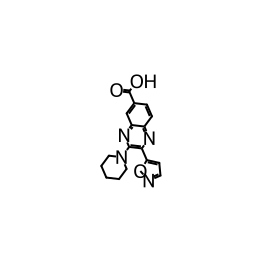 O=C(O)c1ccc2nc(-c3ccno3)c(N3CCCCC3)nc2c1